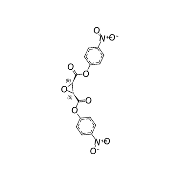 O=C(Oc1ccc([N+](=O)[O-])cc1)[C@H]1O[C@H]1C(=O)Oc1ccc([N+](=O)[O-])cc1